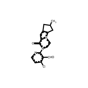 CC1Cc2cc3c(=O)n(-c4nccc(Cl)c4C=O)ccn3c2C1